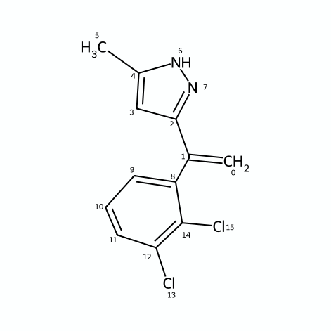 C=C(c1cc(C)[nH]n1)c1cccc(Cl)c1Cl